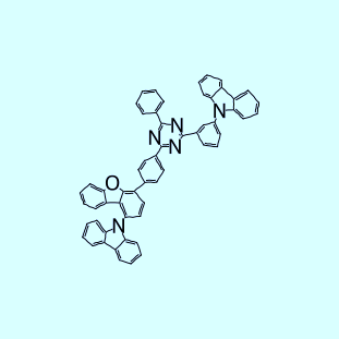 c1ccc(-c2nc(-c3ccc(-c4ccc(-n5c6ccccc6c6ccccc65)c5c4oc4ccccc45)cc3)nc(-c3cccc(-n4c5ccccc5c5ccccc54)c3)n2)cc1